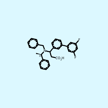 C[C@H](c1ccccc1)N(Cc1ccccc1)C(CC(=O)O)c1cccc(-c2cc(F)cc(F)c2)c1